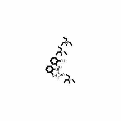 CC[N+](C)(CC)CC.CC[N+](C)(CC)CC.CC[N+](C)(CC)CC.Oc1ccccc1O.Oc1ccccc1O.[O-]B([O-])[O-]